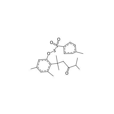 Cc1ccc(S(=O)(=O)SOc2cc(C)cc(C)c2C(C)(C)CC(=O)C(C)C)cc1